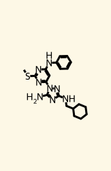 CSc1nc(Nc2ccccc2)cc(-n2nc(NCC3CCCCC3)nc2N)n1